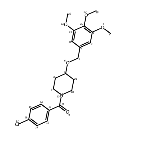 COc1cc(COC2CCN(C(=O)c3ccc(Cl)cc3)CC2)cc(OC)c1OC